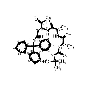 C[C@H](NC(=O)OC(C)(C)C)C(=O)N[C@@H](C)C(=O)N[C@@H](CC(=O)NC(c1ccccc1)(c1ccccc1)c1ccccc1)C(=O)O